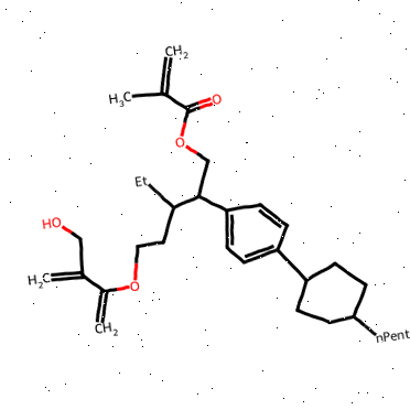 C=C(C)C(=O)OCC(c1ccc(C2CCC(CCCCC)CC2)cc1)C(CC)CCOC(=C)C(=C)CO